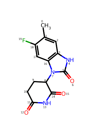 Cc1cc2[nH]c(=O)n(C3CCC(=O)NC3=O)c2cc1F